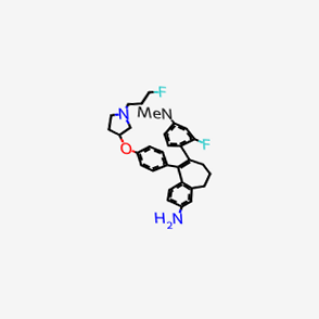 CNc1ccc(C2=C(c3ccc(OC4CCN(CCCF)C4)cc3)c3ccc(N)cc3CCC2)c(F)c1